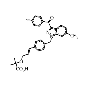 Cc1ccc(C(=O)c2nn(Cc3ccc(/C=C/COC(C)(C)C(=O)O)cc3)c3cc(C(F)(F)F)ccc23)cc1